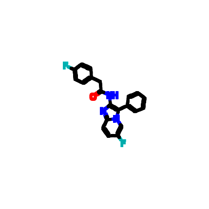 O=C(Cc1ccc(F)cc1)Nc1nc2ccc(F)cn2c1-c1ccccc1